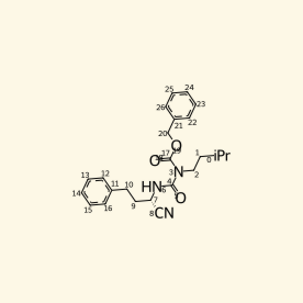 CC(C)CCN(C(=O)N[C@H](C#N)CCc1ccccc1)C(=O)OCc1ccccc1